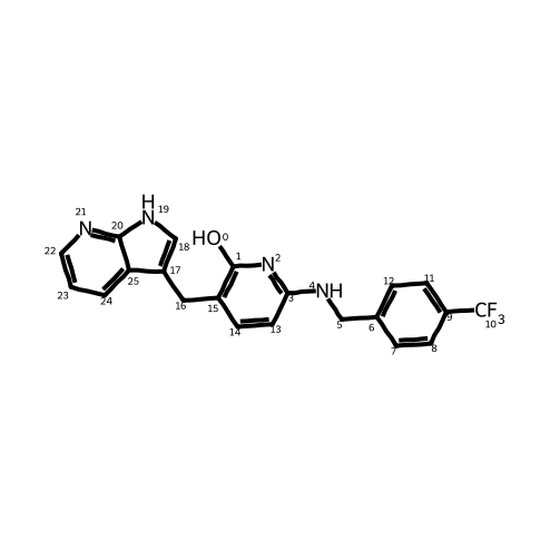 Oc1nc(NCc2ccc(C(F)(F)F)cc2)ccc1Cc1c[nH]c2ncccc12